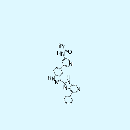 CC(C)C(=O)Nc1cncc(C2=CCC3NN=C(c4nc5c(-c6ccccc6)cncc5[nH]4)C3=C2)c1